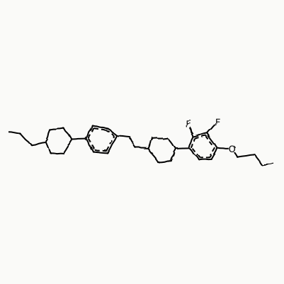 CCCCOc1ccc(C2CCC(CCc3ccc(C4CCC(CCC)CC4)cc3)CC2)c(F)c1F